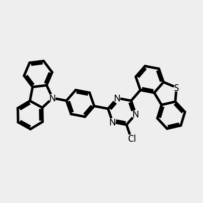 Clc1nc(-c2ccc(-n3c4ccccc4c4ccccc43)cc2)nc(-c2cccc3sc4ccccc4c23)n1